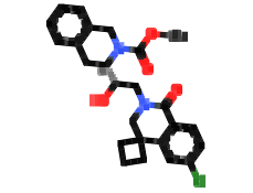 CC(C)(C)OC(=O)N1Cc2ccccc2C[C@H]1C(O)CN1CC2(CCC2)c2cc(Cl)ccc2C1=O